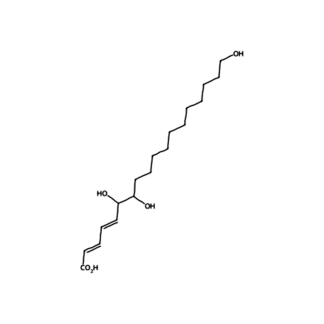 O=C(O)C=CC=CC(O)C(O)CCCCCCCCCCCO